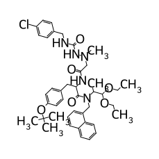 CCOC(OCC)C(C)N(Cc1cccc2ccccc12)C(=O)C(Cc1ccc(OC(C)(C)C)cc1)NC(=O)CN(C)NC(=O)NCc1ccc(Cl)cc1